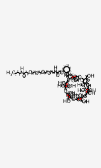 CCCCNC(=O)CCOCCOCCOCCOCCNC(=O)COC1CCCCCc2c1nnn2CC1OC2OC3CC(O)(O)C(OC3CO)OC3C(CO)OC(OC4C(CO)OC(OC5C(CO)OC(OC6C(CO)OC(OC1C(O)C2O)C(O)C6O)C(O)C5O)C(O)C4O)C(O)C3O